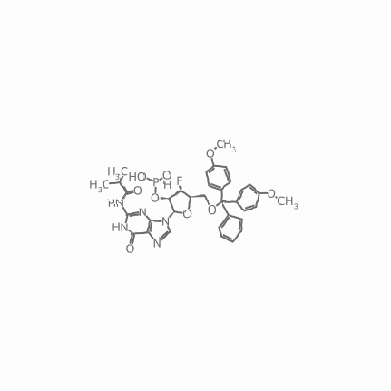 COc1ccc(C(OC[C@H]2O[C@@H](n3cnc4c(=O)[nH]c(NC(=O)C(C)C)nc43)[C@@H](OP(O)O)[C@H]2F)(c2ccccc2)c2ccc(OC)cc2)cc1